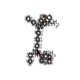 CC1(C)c2ccccc2C2(c3ccccc3Oc3ccccc32)c2cc(-c3nc(-c4ccc(-c5ccccc5)cc4)nc(-c4ccc(-c5ccc(-c6ccc(-c7nc(-c8cccc(-c9ccccc9)c8)nc(-c8ccc9c(c8)C(C)(C)c8ccccc8C98c9ccccc9Sc9ccccc98)n7)cc6)cc5)cc4)n3)ccc21